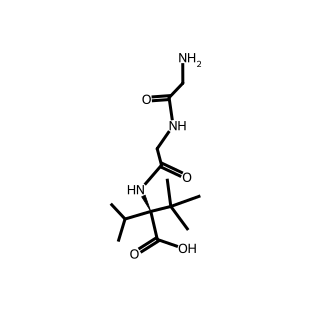 CC(C)[C@@](NC(=O)CNC(=O)CN)(C(=O)O)C(C)(C)C